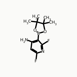 CC1(C)OB(c2c(N)cc(F)nc2F)OC1(C)C